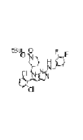 CC(C)(C)OC(=O)N1CCCC(Cn2c(-c3c(Cl)cccc3Cl)cc3cnc(NCc4ccc(F)c(F)c4)nc32)C1